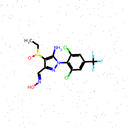 CC[S+]([O-])c1c(C=NO)nn(-c2c(Cl)cc(C(F)(F)F)cc2Cl)c1N